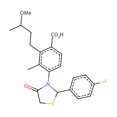 COC(C)CCc1c(C(=O)O)ccc(N2C(=O)CSC2c2ccc(F)cc2)c1C